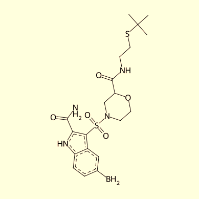 Bc1ccc2[nH]c(C(N)=O)c(S(=O)(=O)N3CCOC(C(=O)NCCSC(C)(C)C)C3)c2c1